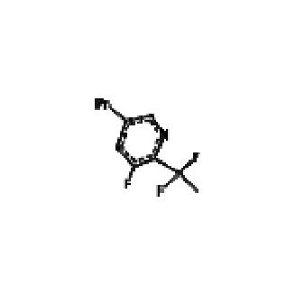 CC(C)c1cnc(C(C)(F)F)c(F)c1